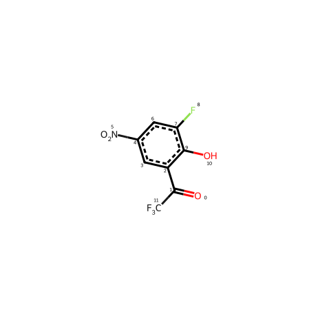 O=C(c1cc([N+](=O)[O-])cc(F)c1O)C(F)(F)F